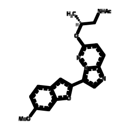 COc1ccc2cc(-c3cnc4ccc(O[C@H](C)CNC(C)=O)nn34)oc2c1